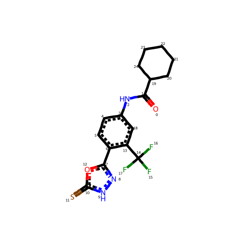 O=C(Nc1ccc(-c2n[nH]c(=S)o2)c(C(F)(F)F)c1)C1CCCCC1